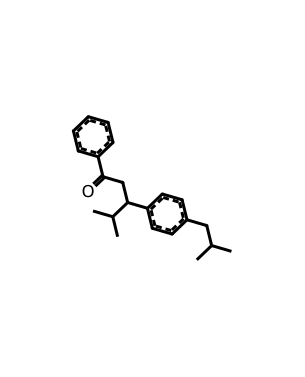 CC(C)Cc1ccc(C(CC(=O)c2ccccc2)C(C)C)cc1